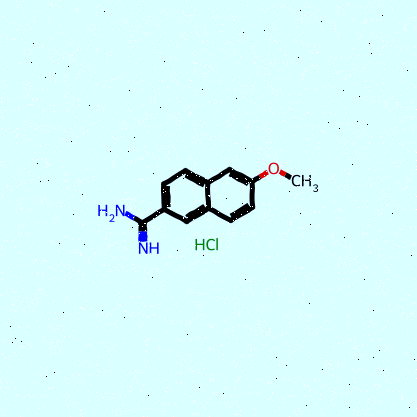 COc1ccc2cc(C(=N)N)ccc2c1.Cl